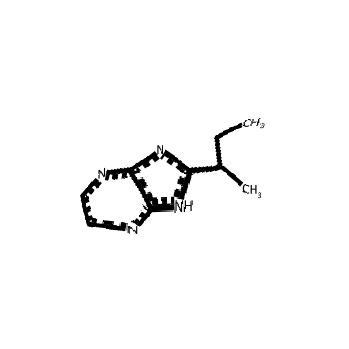 CCC(C)c1nc2nccnc2[nH]1